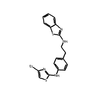 CCc1csc(Nc2ccc(CCNc3nc4ccccc4s3)cc2)n1